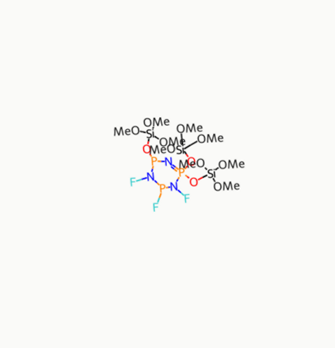 CO[Si](OC)(OC)OP1N=P(O[Si](OC)(OC)OC)(O[Si](OC)(OC)OC)N(F)P(F)N1F